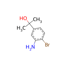 CC(C)(O)c1ccc(Br)c(N)c1